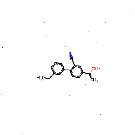 C=C(O)c1ccc(-c2cccc(CC)c2)c(C#N)c1